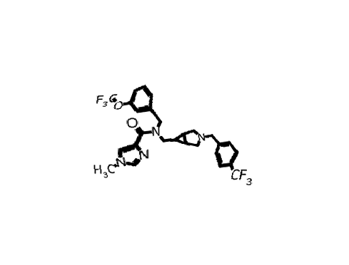 Cn1cnc(C(=O)N(Cc2cccc(OC(F)(F)F)c2)CC2C3CN(Cc4ccc(C(F)(F)F)cc4)CC32)c1